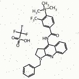 C[N+](C)(C)c1ccc(C(=O)Nc2c3c(nc4ccccc24)N(Cc2ccccc2)CC3)cc1C(F)(F)F.O=S(=O)(O)C(F)(F)F